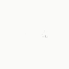 CCCCCCCCCCCCCCCc1cc(O)c2c(=O)c3c(O)cccc3oc2c1